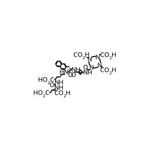 O=C(O)CC[C@H](NC(=O)NC(CCCCNC(=O)[C@H](Cc1ccc2ccccc2c1)NC(=O)C12CC(NC(=O)CN3CCN(CC(=O)O)CCN(CC(=O)O)CCN(CC(=O)O)CC3)(C1)C2)C(=O)O)C(=O)O